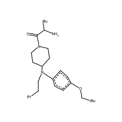 CCC(C)C(N)C(=O)N1CCC(N(CCC(C)C)c2ccc(OCC(C)(C)C)cc2)CC1